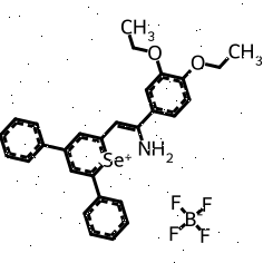 CCOc1ccc(C(N)=Cc2cc(-c3ccccc3)cc(-c3ccccc3)[se+]2)cc1OCC.F[B-](F)(F)F